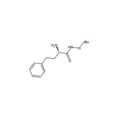 CCCCONC(=O)[C@H](N)CCc1ccccc1